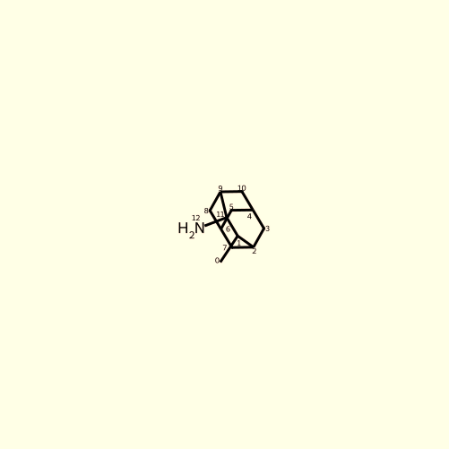 CC1C2CC3CC(C2)CC(C3)C1N